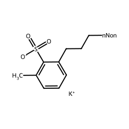 CCCCCCCCCCCCc1cccc(C)c1S(=O)(=O)[O-].[K+]